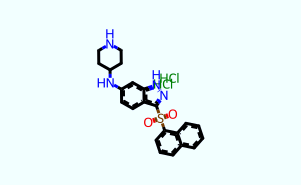 Cl.Cl.O=S(=O)(c1cccc2ccccc12)c1n[nH]c2cc(NC3CCNCC3)ccc12